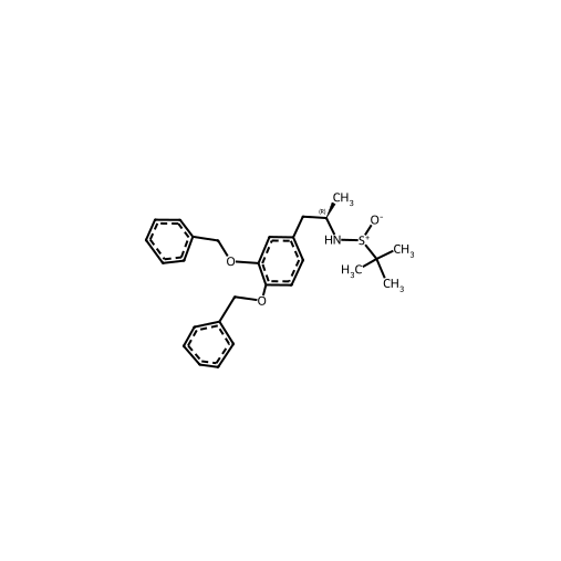 C[C@H](Cc1ccc(OCc2ccccc2)c(OCc2ccccc2)c1)N[S+]([O-])C(C)(C)C